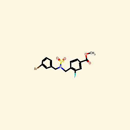 COC(=O)c1ccc(CN(Cc2cccc(Br)c2)[SH](=O)=O)c(F)c1